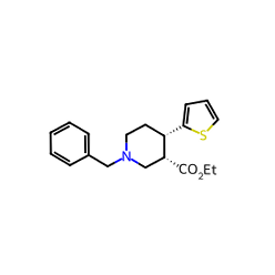 CCOC(=O)[C@@H]1CN(Cc2ccccc2)CC[C@@H]1c1cccs1